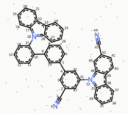 N#Cc1cc(-c2cccc(-c3ccccc3-n3c4ccccc4c4ccccc43)c2)cc(-n2c3ccccc3c3ccc(C#N)cc32)c1